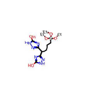 CCO[Si](CCCC(c1n[nH]c(O)n1)c1n[nH]c(O)n1)(OCC)OCC